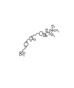 COC(=O)CCN1CCN(CC2CN(CCCC3CCN(C(=N)NC(=O)OC(C)(C)C)CC3)C(=O)O2)CC1